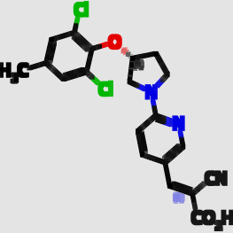 Cc1cc(Cl)c(O[C@@H]2CCN(c3ccc(/C=C(\C#N)C(=O)O)cn3)C2)c(Cl)c1